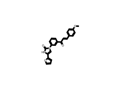 COc1ccc(/C=C/C(=O)c2cccc(-n3cc(-c4ccco4)[nH]c3=O)c2)cc1